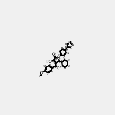 COc1ccc(C(=O)C2=C(O)C(=O)N(c3ccc(-c4cnoc4)cc3)C2C2CCCCC2)cc1